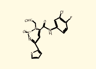 O=CCN1C(C(=O)Nc2ccc(F)c(Cl)c2)=CC(c2cccs2)=N[S+]1[O-]